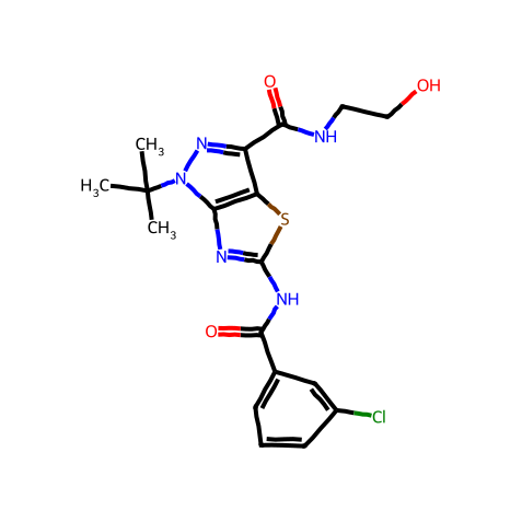 CC(C)(C)n1nc(C(=O)NCCO)c2sc(NC(=O)c3cccc(Cl)c3)nc21